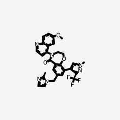 COc1ccc2nccc(N3CCOc4c(cc(Cn5ccnc5C)cc4-c4cn(C)nc4C(F)(F)F)C3=O)c2c1